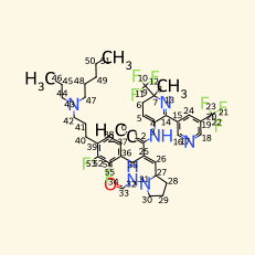 C=C=C(NC1=CCC(C)(C(F)(F)F)N=C1c1cncc(C(F)(F)F)c1)/C(=C/C1CCCN1NC=O)Cc1ccc(CCCN(CCC)CCCCC)c(F)c1F